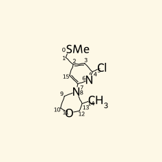 CSCc1cc(Cl)nc(N2CCOCC2C)c1